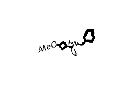 COC1CC(C(=O)NCc2ccccc2)C1